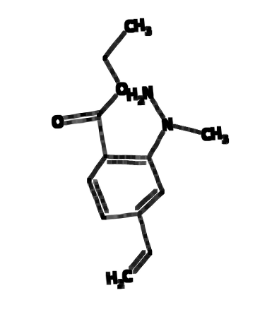 C=Cc1ccc(C(=O)OCC)c(N(C)N)c1